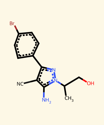 CC(CO)n1nc(-c2ccc(Br)cc2)c(C#N)c1N